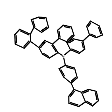 c1ccc(-c2ccc(N(c3ccc(-c4cccc5ccccc45)cc3)c3ccc(-c4ccccc4-c4ccccc4)cc3-c3ccccc3)cc2)cc1